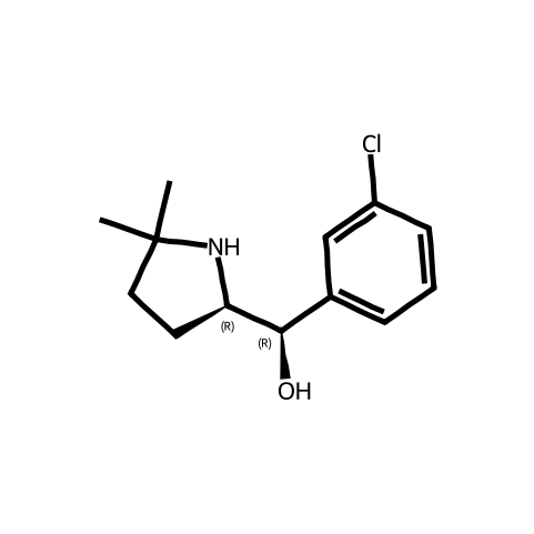 CC1(C)CC[C@H]([C@H](O)c2cccc(Cl)c2)N1